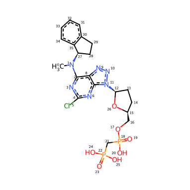 CN(c1nc(Cl)nc2c1nnn2[C@H]1CC[C@@H](COP(=O)(O)CP(=O)(O)O)O1)[C@@H]1CCc2ccccc21